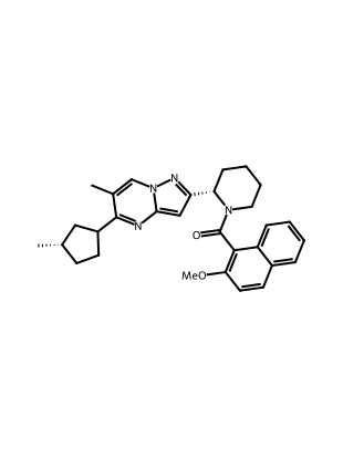 COc1ccc2ccccc2c1C(=O)N1CCCC[C@H]1c1cc2nc(C3CC[C@H](C)C3)c(C)cn2n1